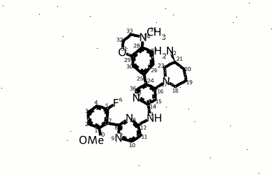 COc1cccc(F)c1-c1nccc(Nc2cc(N3CCC[C@H](N)C3)c(-c3ccc4c(c3)OCCN4C)cn2)n1